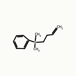 C=CCCS(C)(C)c1ccccc1